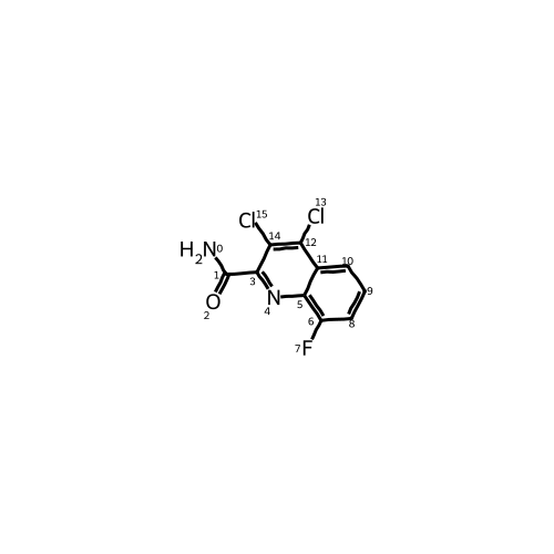 NC(=O)c1nc2c(F)cccc2c(Cl)c1Cl